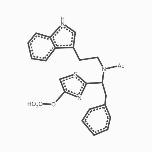 CC(=O)N(CCc1c[nH]c2ccccc12)C(Cc1ccccc1)c1nc(OC(=O)O)cs1